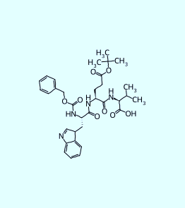 CC(C)[C@H](NC(=O)[C@H](CCC(=O)OC(C)(C)C)NC(=O)[C@H](CC1C=Nc2ccccc21)NC(=O)OCc1ccccc1)C(=O)O